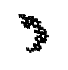 Cc1nnc(C(=O)Nc2ccc(F)c(C(=O)Nc3cccc(-c4nncn4C(C)C)n3)c2)o1